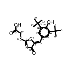 CC(C)(C)c1cc(/C=C2\SC(SCC(=O)O)=NC2=O)cc(C(C)(C)C)c1O